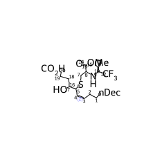 CCCCCCCCCCCC/C=C\C(SCC(NC(=O)C(F)(F)F)C(=O)OC)C(O)CCC(=O)O